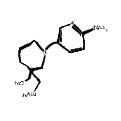 COCC1(O)CCCN(c2ccc([N+](=O)[O-])nc2)C1